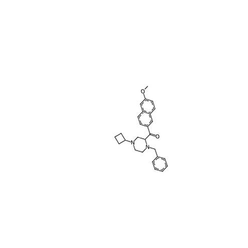 COc1ccc2cc(C(=O)C3CN(C4CCC4)CCN3Cc3ccccc3)ccc2c1